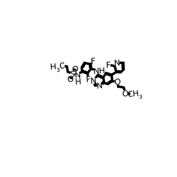 CCCS(=O)(=O)Nc1ccc(F)c(Nc2ncnc3cc(OCCOC)c(-c4cccnc4F)cc23)c1F